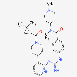 CN1CCC(N(C)C(=O)c2ccc(NC(=N)/N=c3\[nH]cccc3C3=CCN(C(=O)C4CC4(C)C)CC3)cc2)CC1